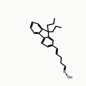 CCCC1(CCC)c2ccccc2-c2ccc(C=CCCC=NO)cc21